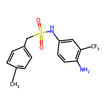 Cc1ccc(CS(=O)(=O)Nc2ccc(N)c(C(F)(F)F)c2)cc1